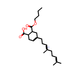 CCCCOC(=O)C1CC(CC/C=C(\C)CCC=C(C)C)=CCC1C(=O)O